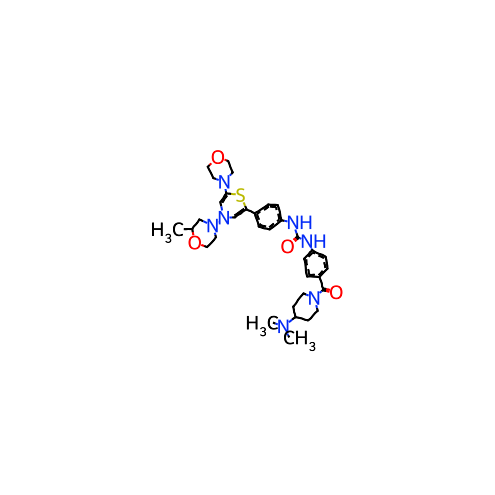 CC1CN(N2C=C(c3ccc(NC(=O)Nc4ccc(C(=O)N5CCC(N(C)C)CC5)cc4)cc3)SC(N3CCOCC3)=C2)CCO1